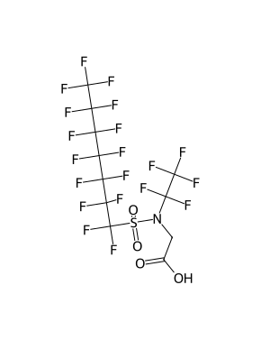 O=C(O)CN(C(F)(F)C(F)(F)F)S(=O)(=O)C(F)(F)C(F)(F)C(F)(F)C(F)(F)C(F)(F)C(F)(F)C(F)(F)F